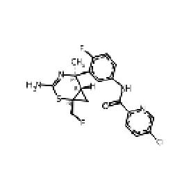 C[C@@]1(c2cc(NC(=O)c3ccc(Cl)cn3)ccc2F)N=C(N)S[C@@]2(CF)C[C@H]21